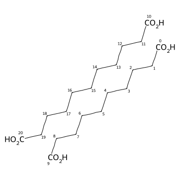 O=C(O)CCCCCCCCC(=O)O.O=C(O)CCCCCCCCCC(=O)O